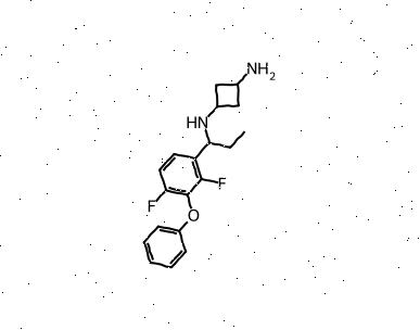 CCC(NC1CC(N)C1)c1ccc(F)c(Oc2ccccc2)c1F